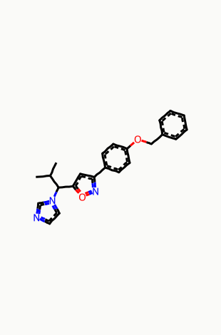 CC(C)C(c1cc(-c2ccc(OCc3ccccc3)cc2)no1)n1ccnc1